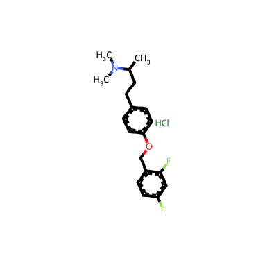 CC(CCc1ccc(OCc2ccc(F)cc2F)cc1)N(C)C.Cl